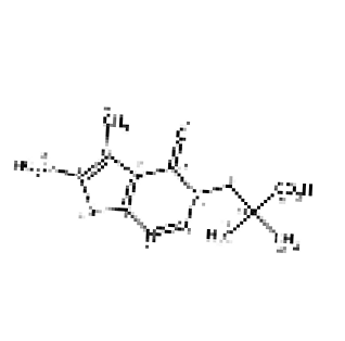 Cc1c(C(=O)O)sc2ncn(CC(C)(C)C(=O)O)c(=O)c12